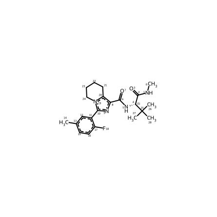 CNC(=O)[C@@H](NC(=O)c1nc(-c2cc(C)ccc2F)n2c1CCCC2)C(C)(C)C